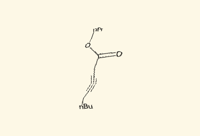 CCCCC#CC(=O)OCCC